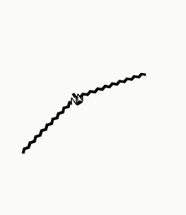 CCCCCCCCCCCCCCCCCCN1C=CN(CCCCCCCCCCCCCCCCCC)C1C